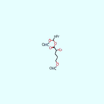 CCCC(OC=O)OC(=O)C([O])CCCOC=O